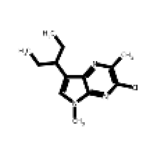 CCC(CC)c1cn(C)c2nc(Cl)c(C)nc12